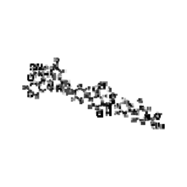 COC(=O)N[C@H](C(=O)N1C[C@@H](C)C[C@H]1c1nc(-c2ccc(-c3cc(Cl)c(NC(=O)c4ccc(N5CCN(C(=O)C(C)(C)C)C[C@H]5C)nc4)cc3OC(F)(F)F)cc2)c[nH]1)C1CCOCC1